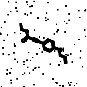 C=CCNc1ccc(C#CC(=O)OCC)cc1